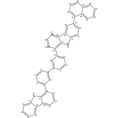 c1cc(-c2cccc(-c3cccc4c3sc3ccccc34)c2)cc(-c2ncnc3c2oc2ccc(-c4cccc5ccccc45)cc23)c1